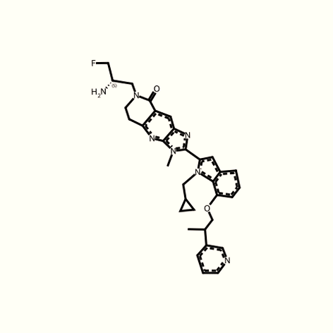 CC(COc1cccc2cc(-c3nc4cc5c(nc4n3C)CCN(C[C@H](N)CF)C5=O)n(CC3CC3)c12)c1cccnc1